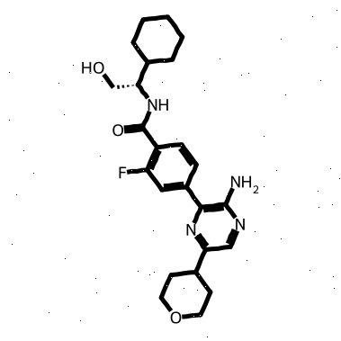 Nc1ncc(C2CCOCC2)nc1-c1ccc(C(=O)N[C@H](CO)C2CCCCC2)c(F)c1